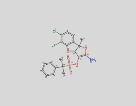 [2H]C1(c2ccc(Cl)c(F)c2)OC(N)=C(OS(=O)(=O)C([2H])([2H])c2ccccc2)C1=O